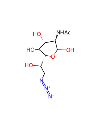 CC(=O)N[C@H]1C(O)O[C@H](C(O)CN=[N+]=[N-])[C@@H](O)[C@@H]1O